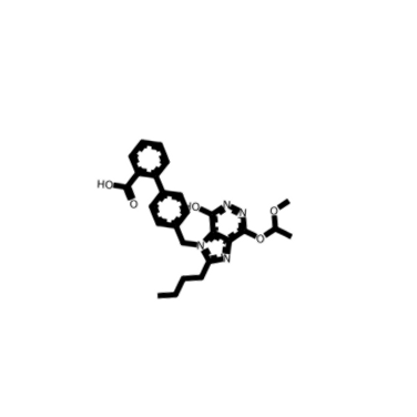 CCCCc1nc2c(OC(C)OC)nnc(O)c2n1Cc1ccc(-c2ccccc2C(=O)O)cc1